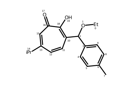 CCOC(c1ccc(C)cc1)c1ccc(C(C)C)cc(=O)c1O